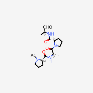 CC(=O)N1CCC[C@H]1C(=O)N[C@@H](C)C(=O)N1CCC[C@H]1C(=O)N[C@@H](C)C=O